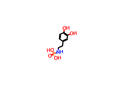 O=P(O)(O)NCCc1ccc(O)c(O)c1